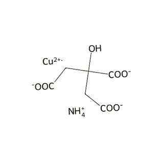 O=C([O-])CC(O)(CC(=O)[O-])C(=O)[O-].[Cu+2].[NH4+]